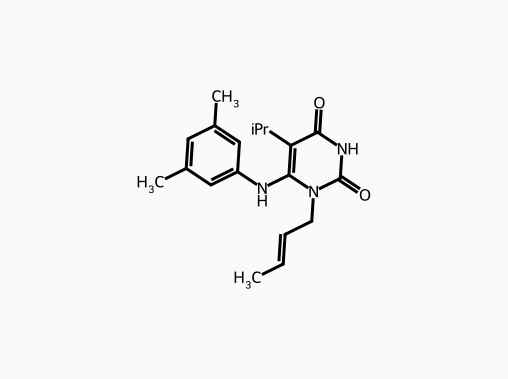 C/C=C/Cn1c(Nc2cc(C)cc(C)c2)c(C(C)C)c(=O)[nH]c1=O